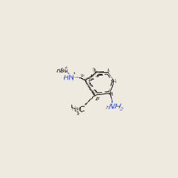 CCCCNc1cccc(N)c1C